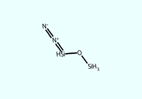 [N-]=[N+]=[SiH]O[SiH3]